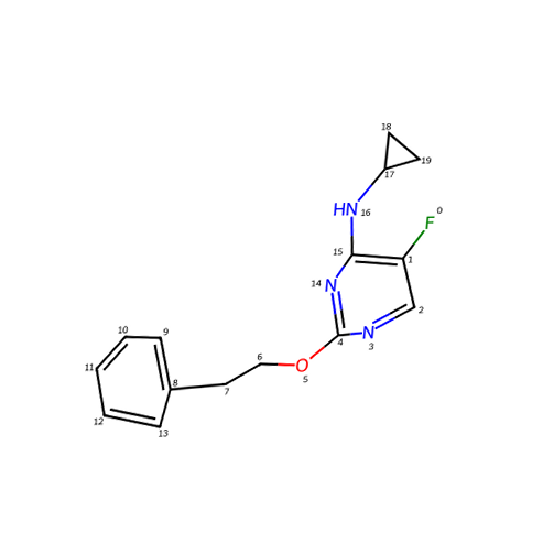 Fc1cnc(OCCc2ccccc2)nc1NC1CC1